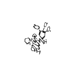 COc1cc(NS(=O)(=O)N2CCCC[C@H]2C(=O)O)cc(OC)c1OC